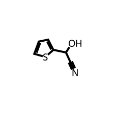 N#CC(O)c1cccs1